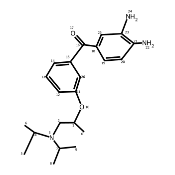 CC(CN(C(C)C)C(C)C)Oc1cccc(C(=O)c2ccc(N)c(N)c2)c1